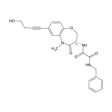 CN1C(=O)[C@@H](NC(=O)C(=O)NCc2ccccc2)COc2ccc(C#CCCO)cc21